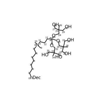 CCCCCCCCCCCCCCCCC[N+](C)(C)CCC[Si](OCC(C)(CO)CO)(OCC(C)(CO)CO)OCC(C)(CO)CO